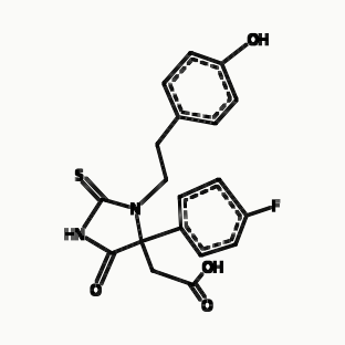 O=C(O)CC1(c2ccc(F)cc2)C(=O)NC(=S)N1CCc1ccc(O)cc1